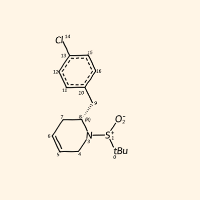 CC(C)(C)[S+]([O-])N1CC=CC[C@@H]1Cc1ccc(Cl)cc1